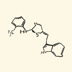 FC(F)(F)c1ccccc1NC1N=C/C(=C/c2c[nH]c3ccccc23)S1